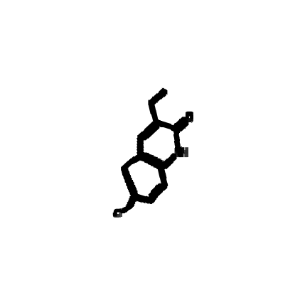 CCc1cc2cc(Cl)ccc2[nH]c1=O